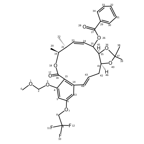 COCOc1cc(OCC(F)(F)F)cc2c1C(=O)O[C@@H](C)[C@H](C)/C=C\C(OC(=O)c1ccccc1)[C@H]1OC(C)(C)O[C@H]1C/C=C/2